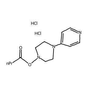 CCCC(=O)ON1CCN(c2ccncc2)CC1.Cl.Cl